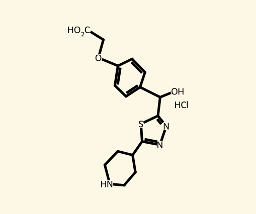 Cl.O=C(O)COc1ccc(C(O)c2nnc(C3CCNCC3)s2)cc1